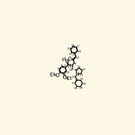 CCOc1ccc(C(=O)N(C/C(C)=C/c2ccccc2)C[C@@H]2CCCN2CC2CCCCC2)cc1OCC